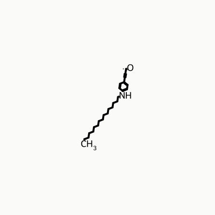 CCCCCCCCCCCCCCCCNc1ccc(C#C[C]=O)cc1